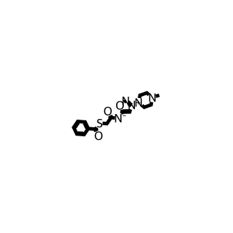 CN1CCN([n+]2cc([N-]C(=O)CSC(=O)c3ccccc3)on2)CC1